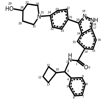 O=C(NC(c1ccccc1)C1CCC1)c1ccc2[nH]nc(-c3ccc(N4CCC(O)CC4)cc3)c2c1